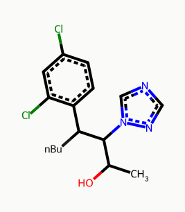 CCCCC(c1ccc(Cl)cc1Cl)C(C(C)O)n1cncn1